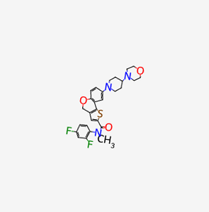 CN(C(=O)c1cc2c(s1)-c1cc(N3CCC(N4CCOCC4)CC3)ccc1OC2)c1ccc(F)cc1F